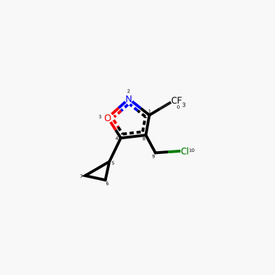 FC(F)(F)c1noc(C2CC2)c1CCl